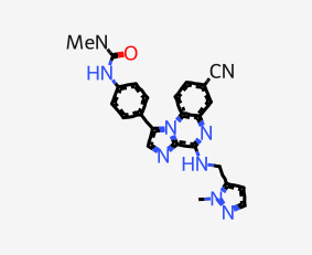 CNC(=O)Nc1ccc(-c2cnc3c(NCc4ccnn4C)nc4cc(C#N)ccc4n23)cc1